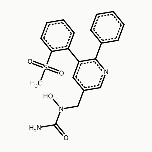 CS(=O)(=O)c1ccccc1-c1cc(CN(O)C(N)=O)cnc1-c1ccccc1